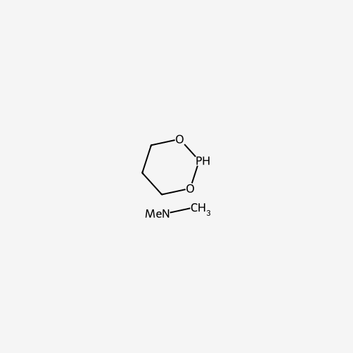 C1COPOC1.CNC